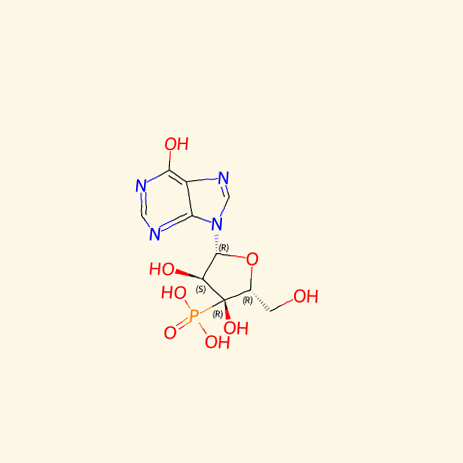 O=P(O)(O)[C@@]1(O)[C@@H](CO)O[C@@H](n2cnc3c(O)ncnc32)[C@@H]1O